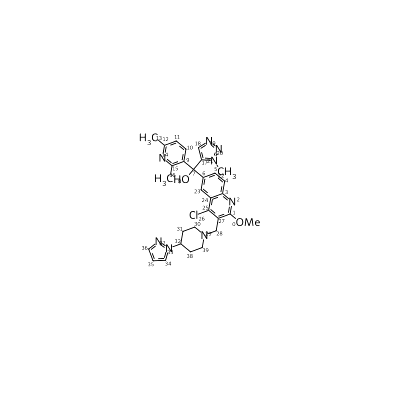 COc1nc2ccc(C(O)(c3ccc(C)nc3C)c3cnnn3C)cc2c(Cl)c1CN1CCC(n2cccn2)CC1